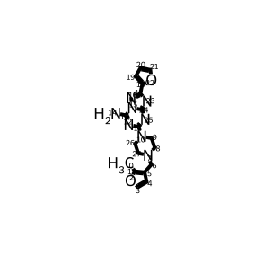 Cc1occc1CN1CCN(c2nc(N)n3nc(-c4ccco4)nc3n2)CC1